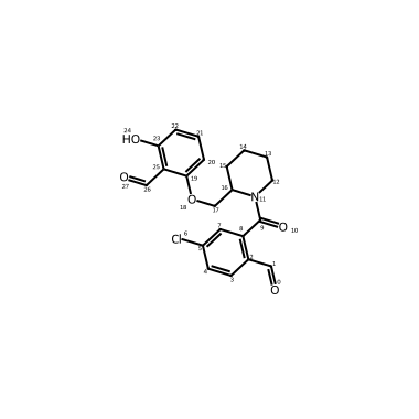 O=Cc1ccc(Cl)cc1C(=O)N1CCCCC1COc1cccc(O)c1C=O